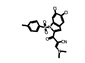 Cc1ccc(S(=O)(=O)n2c(C(=O)C(C#N)=CN(C)C)cc3cc(Cl)c(Cl)cc32)cc1